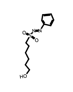 O=S(=O)(CCCCCCO)/N=N/c1ccccc1